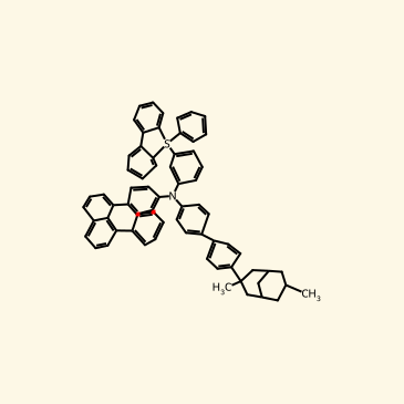 CC1CC2CC(C1)CC(C)(c1ccc(-c3ccc(N(c4ccc(-c5cccc6cccc(-c7ccccc7)c56)cc4)c4cccc(S5(c6ccccc6)c6ccccc6-c6ccccc65)c4)cc3)cc1)C2